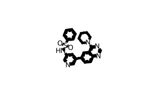 O=S(=O)(Nc1cncc(-c2ccc3ncnc(N4CCCCC4)c3c2)c1)c1ccccc1